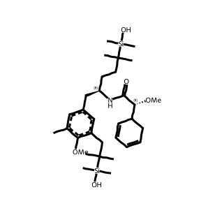 COc1c(C)cc(C[C@@H](CCC(C)(C)[Si](C)(C)O)NC(=O)[C@H](OC)C2C=CC=CC2)cc1CC(C)(C)[Si](C)(C)O